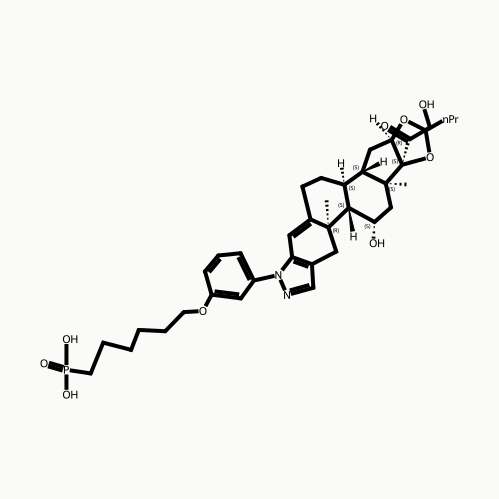 CCCC1O[C@@H]2C[C@H]3[C@@H]4CCC5=Cc6c(cnn6-c6cccc(OCCCCCCP(=O)(O)O)c6)C[C@]5(C)[C@H]4[C@@H](O)C[C@]3(C)[C@]2(C(=O)CO)O1